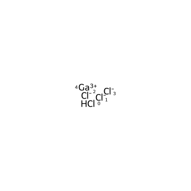 Cl.[Cl-].[Cl-].[Cl-].[Ga+3]